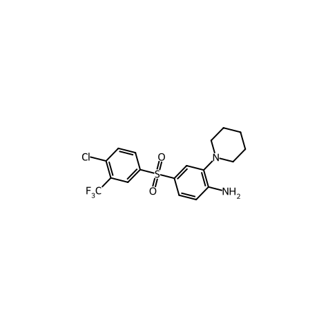 Nc1ccc(S(=O)(=O)c2ccc(Cl)c(C(F)(F)F)c2)cc1N1CCCCC1